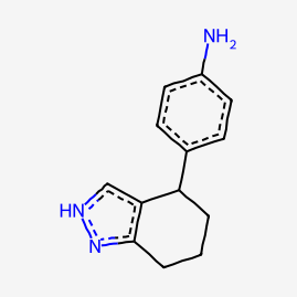 Nc1ccc(C2CCCc3n[nH]cc32)cc1